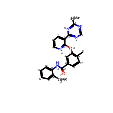 CNc1ncnc(-c2cccnc2Oc2cc(C(=O)Nc3ccccc3OC)ccc2C)n1